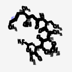 C/C=C/C[C@@H](C)[C@@H](O)CC(=O)N[C@@H](CC)C(=O)N(C)[C@H](OC)C(=O)N(C)[C@@H](CC(C)C)C(N)=O